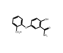 NC(=O)c1cc(Oc2ccccc2C(=O)O)ccc1O